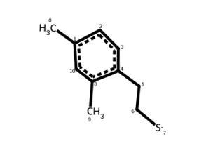 Cc1ccc(CC[S])c(C)c1